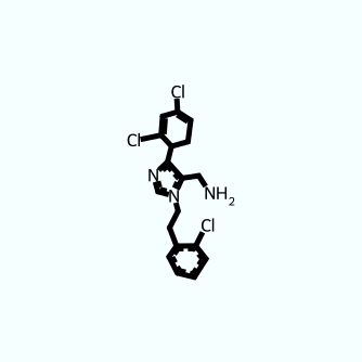 NCc1c(C2CC=C(Cl)C=C2Cl)ncn1CCc1ccccc1Cl